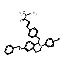 CN(C)C(=O)/C=C/c1ccc(CC2c3ccc(OCc4ccccc4)cc3CCN2c2ccc(F)cc2)cc1